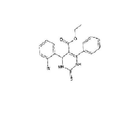 CCOC(=O)C1=C(c2ccccc2)NC(=S)NC1c1ccccc1Br